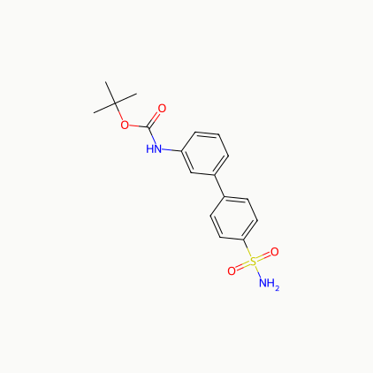 CC(C)(C)OC(=O)Nc1cccc(-c2ccc(S(N)(=O)=O)cc2)c1